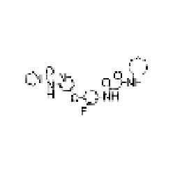 O=C(CC(=O)NC1CCCCCC1)Nc1ccc(Oc2ccnc(NC(=O)N3CCCC3)c2)c(F)c1